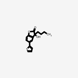 CCCCC1(O)C(=O)Oc2ccc(-c3cccs3)cc21